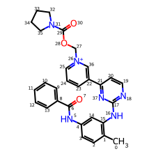 Cc1ccc(NC(=O)c2ccccc2)cc1Nc1nccc(-c2ccc[n+](COC(=O)N3CCCC3)c2)n1